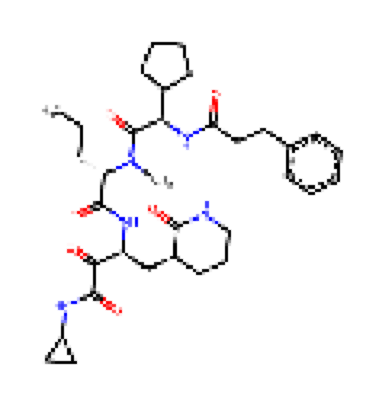 CCC[C@@H](C(=O)N[C@@H](C[C@@H]1CCCNC1=O)C(=O)C(=O)NC1CC1)N(C)C(=O)[C@H](NC(=O)CCc1ccccc1)C1CCCC1